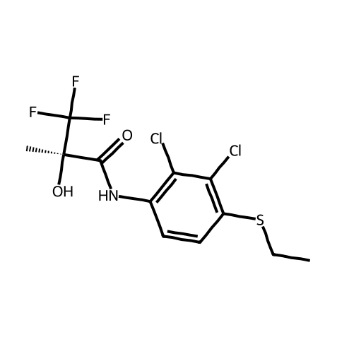 CCSc1ccc(NC(=O)[C@@](C)(O)C(F)(F)F)c(Cl)c1Cl